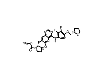 CC(C)(C)OC(=O)N1CC[C@H](Oc2nc3c(Nc4ccc(OC[C@@H]5CCCO5)c(F)c4F)ncnc3cc2F)C1